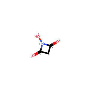 O=C1CC(=O)N1O